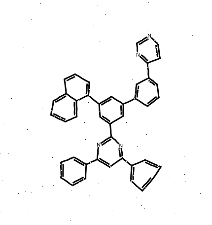 c1ccc(-c2cc(-c3ccccc3)nc(-c3cc(-c4cccc(-c5ccncn5)c4)cc(-c4cccc5ccccc45)c3)n2)cc1